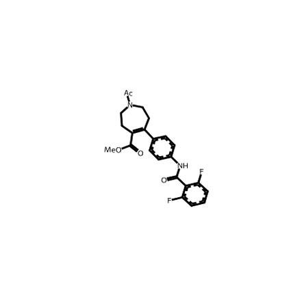 COC(=O)C1=C(c2ccc(NC(=O)c3c(F)cccc3F)cc2)CCN(C(C)=O)CC1